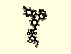 C=C/C(=C\C=C\F)S(=O)(=O)NCc1ccc(-n2c(C3=C(N)NCC=C3)nc3cc(Br)cnc32)cc1